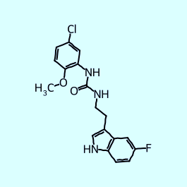 COc1ccc(Cl)cc1NC(=O)NCCc1c[nH]c2ccc(F)cc12